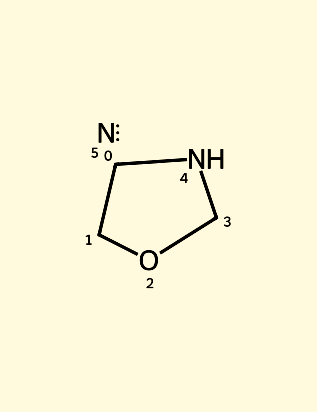 C1COCN1.[N]